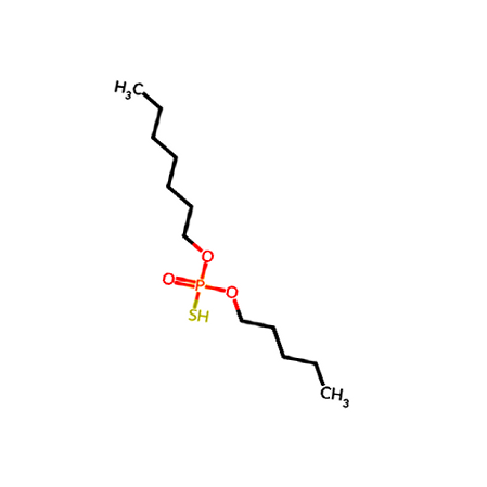 CCCCCCCOP(=O)(S)OCCCCC